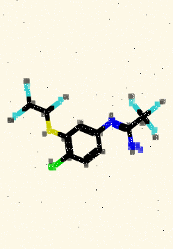 NC(=Nc1ccc(Cl)c(SC(F)C(F)F)c1)C(F)(F)F